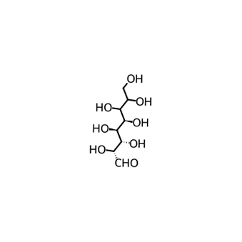 O=C[C@H](O)[C@@H](O)[C@@H](O)[C@H](O)C(O)C(O)CO